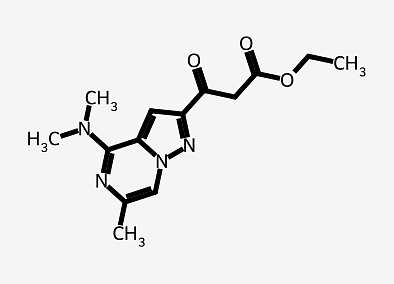 CCOC(=O)CC(=O)c1cc2c(N(C)C)nc(C)cn2n1